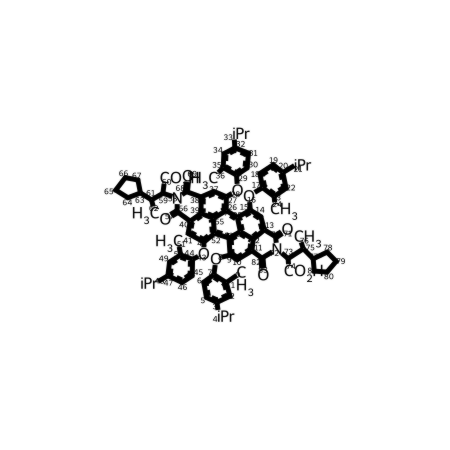 Cc1cc(C(C)C)ccc1Oc1cc2c3c(cc(Oc4ccc(C(C)C)cc4C)c4c5c(Oc6ccc(C(C)C)cc6C)cc6c7c(cc(Oc8ccc(C(C)C)cc8C)c(c1c34)c75)C(=O)N(C(C(=O)O)C(C)C1CCCC1)C6=O)C(=O)N(C(C(=O)O)C(C)C1CCCC1)C2=O